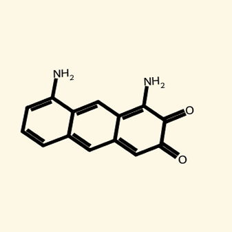 NC1=c2cc3c(N)cccc3cc2=CC(=O)C1=O